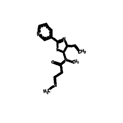 CCC1N=C(c2cccnc2)SC1N(C)C(=O)CCSC